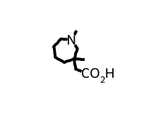 CN1CCCCC(C)(CC(=O)O)C1